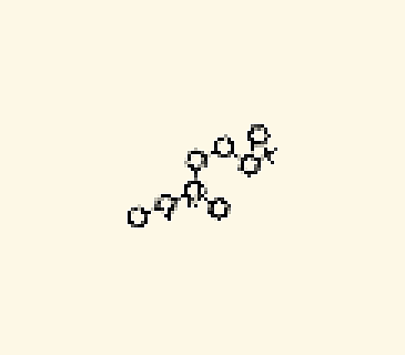 CC1(C)c2ccccc2-c2c(-c3cccc(-c4cccc(-c5cc(-c6ccc(-c7ccccc7)nc6)nc(-c6ccccc6)n5)c4)c3)cccc21